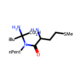 CCCCCN(C(=O)C(N)CCSC)C(N)(C(=O)O)C(C)CC